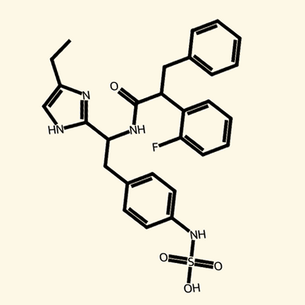 CCc1c[nH]c(C(Cc2ccc(NS(=O)(=O)O)cc2)NC(=O)C(Cc2ccccc2)c2ccccc2F)n1